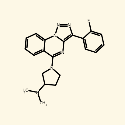 CN(C)C1CCN(c2nc3c(-c4ccccc4F)nnn3c3ccccc23)C1